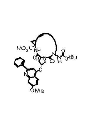 COc1ccc2c(O[C@@H]3C[C@H]4C(=O)N[C@]5(C(=O)O)CC5/C=C\CCCCCN(NC(=O)OC(C)(C)C)C(=O)N4C3)cc(-c3ccccc3)nc2c1